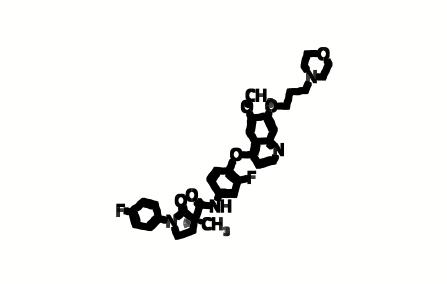 COc1cc2c(Oc3ccc(NC(=O)[C@]4(C)CCN(c5ccc(F)cc5)C4=O)cc3F)ccnc2cc1OCCCN1CCOCC1